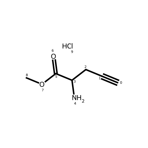 C#CCC(N)C(=O)OC.Cl